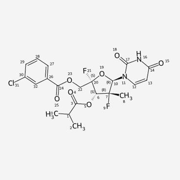 CC(C)C(=O)O[C@H]1[C@@](C)(F)[C@H](n2ccc(=O)[nH]c2=O)O[C@]1(F)COC(=O)c1cccc(Cl)c1